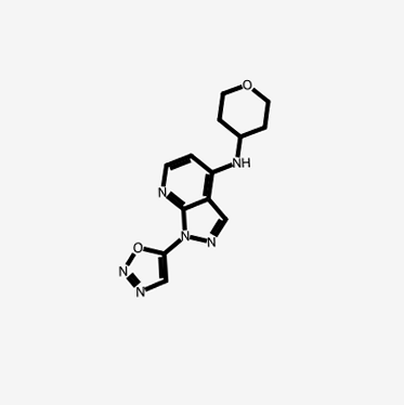 c1cc(NC2CCOCC2)c2cnn(-c3cnno3)c2n1